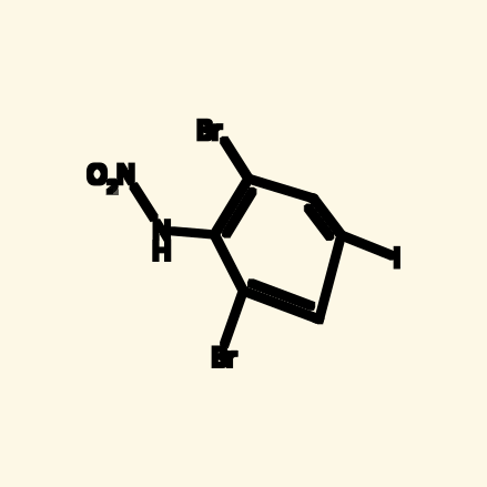 O=[N+]([O-])Nc1c(Br)cc(I)cc1Br